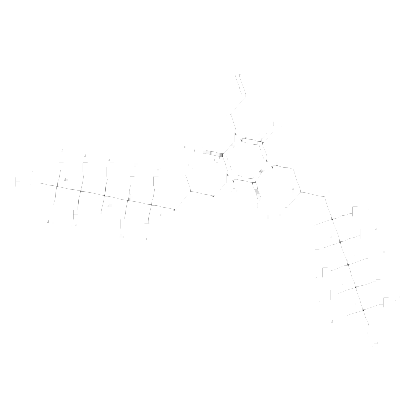 C=CCn1c(=O)n(CC(I)CC(F)(F)C(F)(F)C(F)(F)C(F)(F)C(F)(F)C(F)(F)F)c(=O)n(CC(I)CC(F)(F)C(F)(F)C(F)(F)C(F)(F)C(F)(F)C(F)(F)F)c1=O